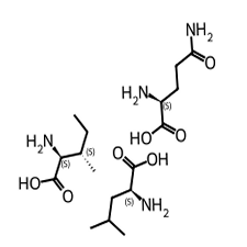 CC(C)C[C@H](N)C(=O)O.CC[C@H](C)[C@H](N)C(=O)O.NC(=O)CC[C@H](N)C(=O)O